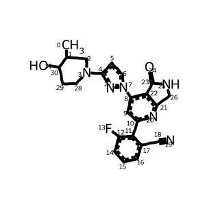 CC1CN(c2ccn(-c3cc(-c4c(F)cccc4C#N)nc4c3C(=O)NC4)n2)CCC1O